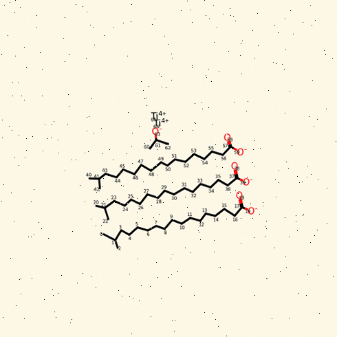 CC(C)CCCCCCCCCCCCCCC(=O)[O-].CC(C)CCCCCCCCCCCCCCC(=O)[O-].CC(C)CCCCCCCCCCCCCCC(=O)[O-].CC(C)[O-].[Ti+4].[Ti+4]